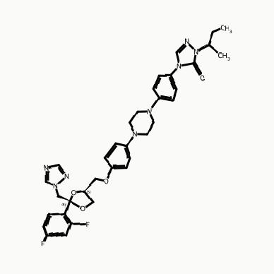 CCC(C)n1ncn(-c2ccc(N3CCN(c4ccc(OC[C@H]5CO[C@](Cn6cncn6)(c6ccc(F)cc6F)O5)cc4)CC3)cc2)c1=O